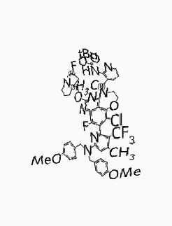 COc1ccc(CN(Cc2ccc(OC)cc2)c2cc(C)c(C(F)(F)F)c(-c3c(Cl)c4c5c(nc(OC[C@@]67CCCN6C[C@H](F)C7)nc5c3F)N([C@H](C)c3cccnc3NC(=O)OC(C)(C)C)CCO4)n2)cc1